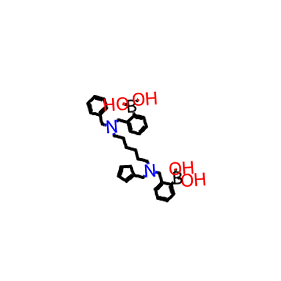 OB(O)c1ccccc1CN(CCCCCCN(Cc1ccccc1)Cc1ccccc1B(O)O)CC1=CC=CC1